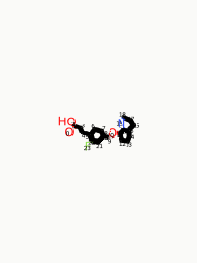 O=C(O)C=Cc1ccc(COc2cccc3cccnc23)cc1F